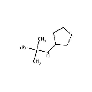 CCCC(C)(C)BC1CCCC1